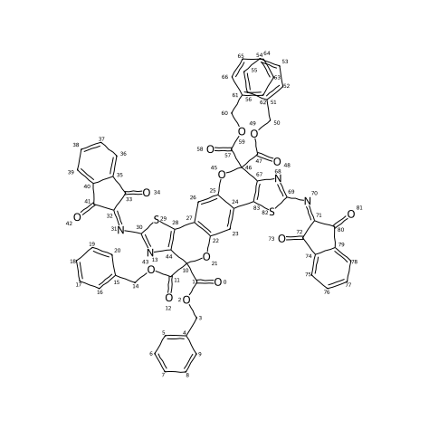 O=C(OCc1ccccc1)C1(C(=O)OCc2ccccc2)Oc2cc3c(cc2-c2sc(N=c4c(=O)c5ccccc5c4=O)nc21)OC(C(=O)OCc1ccccc1)(C(=O)OCc1ccccc1)c1nc(N=c2c(=O)c4ccccc4c2=O)sc1-3